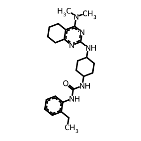 CCc1ccccc1NC(=O)NC1CCC(Nc2nc3c(c(N(C)C)n2)CCCC3)CC1